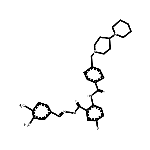 Cc1ccc(/C=N/NC(=O)c2cc(Br)ccc2NC(=O)c2ccc(CN3CCC(N4CCCCC4)CC3)cc2)cc1C